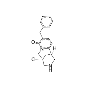 O=c1c(Cc2ccccc2)ccc2n1C[C@]1(Cl)CNC[C@H]2C1